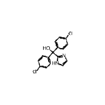 OC(c1ccc(Cl)cc1)(c1ccc(Cl)cc1)c1ncc[nH]1